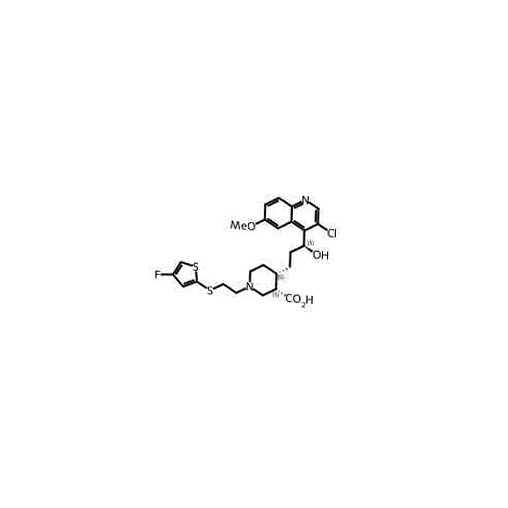 COc1ccc2ncc(Cl)c([C@@H](O)CC[C@H]3CCN(CCSc4cc(F)cs4)C[C@H]3C(=O)O)c2c1